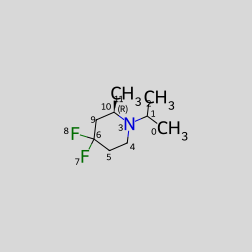 CC(C)N1CCC(F)(F)C[C@H]1C